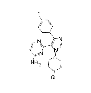 Nc1ccnc(-c2c(-c3ccc(F)cc3)ncn2C2CCC(=O)CC2)n1